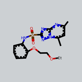 CCOCCOc1ccccc1NS(=O)(=O)c1nc2nc(C)cc(C)n2n1